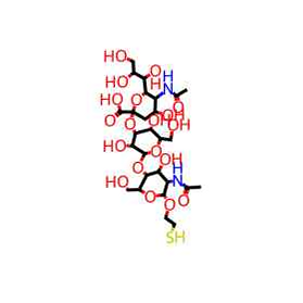 CC(=O)NC1C(OCCS)OC(CO)C(OC2OC(CO)C(O)C(OC3(C(=O)O)CC(O)C(NC(C)=O)C(C(O)C(O)CO)O3)C2O)C1O